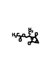 CC(=O)OC[C@H](C)N1C(=O)C2CC2C1=O